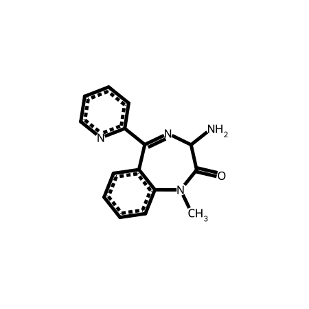 CN1C(=O)C(N)N=C(c2ccccn2)c2ccccc21